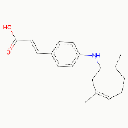 CC1=CCCC(C)C(Nc2ccc(C=CC(=O)O)cc2)C1